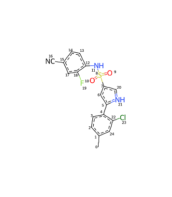 Cc1ccc(-c2cc(S(=O)(=O)Nc3ccc(C#N)cc3F)c[nH]2)c(Cl)c1